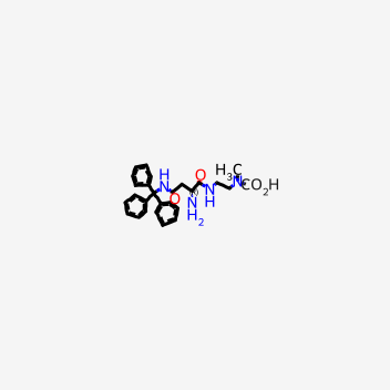 CN(CCNC(=O)[C@H](N)CC(=O)NC(c1ccccc1)(c1ccccc1)c1ccccc1)C(=O)O